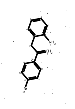 C=C(Cc1ccccc1N)c1ccc(Br)cc1